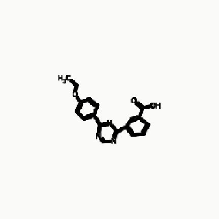 CCOc1ccc(-c2ncnc(-c3cccc(C(=O)O)c3)n2)cc1